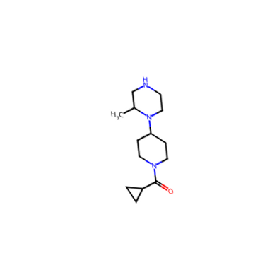 CC1CNCCN1C1CCN(C(=O)C2CC2)CC1